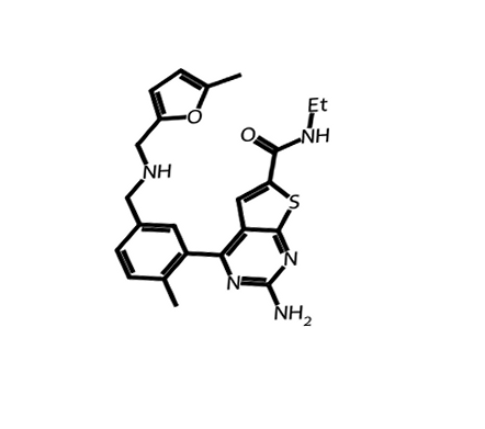 CCNC(=O)c1cc2c(-c3cc(CNCc4ccc(C)o4)ccc3C)nc(N)nc2s1